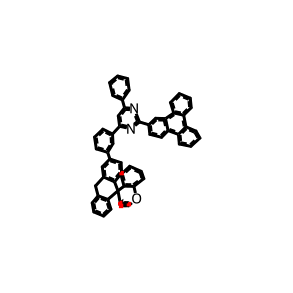 c1ccc(-c2cc(-c3cccc(-c4ccc5c(c4)Cc4ccccc4C54c5ccccc5Oc5ccccc54)c3)nc(-c3ccc4c5ccccc5c5ccccc5c4c3)n2)cc1